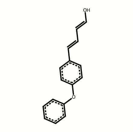 OC=CC=Cc1ccc(Oc2ccccc2)cc1